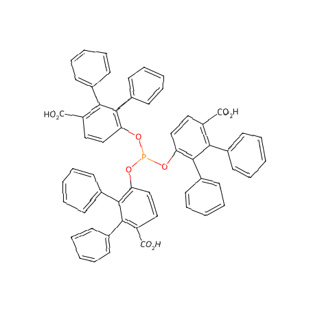 O=C(O)c1ccc(OP(Oc2ccc(C(=O)O)c(-c3ccccc3)c2-c2ccccc2)Oc2ccc(C(=O)O)c(-c3ccccc3)c2-c2ccccc2)c(-c2ccccc2)c1-c1ccccc1